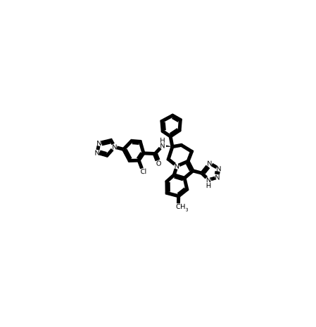 Cc1ccc2c(c1)c(-c1nnn[nH]1)c1n2C[C@@](NC(=O)c2ccc(-n3cnnc3)cc2Cl)(c2ccccc2)CC1